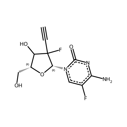 C#CC1(F)C(O)[C@@H](CO)O[C@H]1n1cc(F)c(N)nc1=O